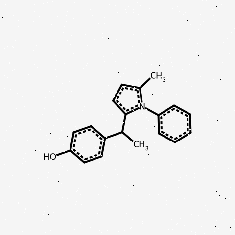 Cc1ccc(C(C)c2ccc(O)cc2)n1-c1ccccc1